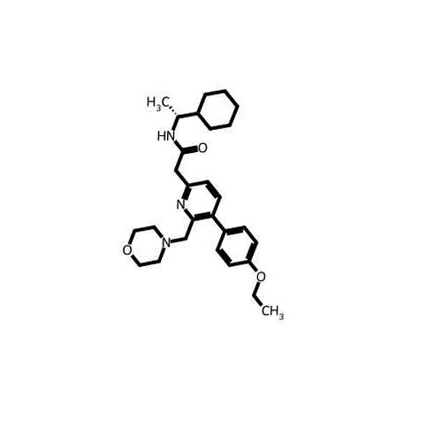 CCOc1ccc(-c2ccc(CC(=O)N[C@H](C)C3CCCCC3)nc2CN2CCOCC2)cc1